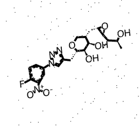 C[C@H]([C@@H]1O[C@H]1C[C@H]1CO[C@@H](Cc2cn(-c3ccc(F)c([N+](=O)[O-])c3)nn2)[C@H](O)[C@@H]1O)[C@H](C)O